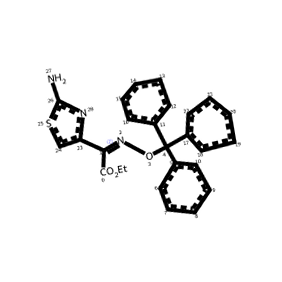 CCOC(=O)/C(=N\OC(c1ccccc1)(c1ccccc1)c1ccccc1)c1csc(N)n1